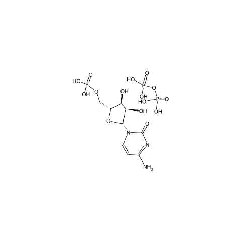 Nc1ccn([C@@H]2O[C@H](COP(=O)(O)O)[C@@H](O)[C@H]2O)c(=O)n1.O=P(O)(O)OP(=O)(O)O